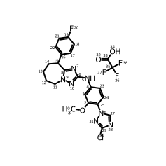 COc1cc(Nc2nc3n(n2)CCCCC3c2ccc(F)cc2)ccc1-n1cnc(Cl)n1.O=C(O)C(F)(F)F